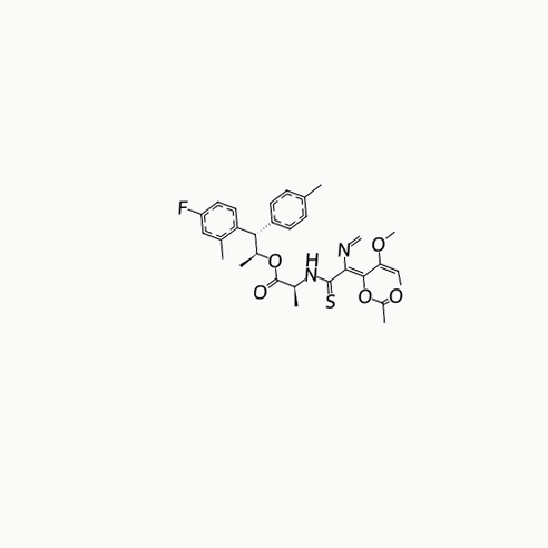 C=N/C(C(=S)N[C@@H](C)C(=O)O[C@@H](C)[C@@H](c1ccc(C)cc1)c1ccc(F)cc1C)=C(OC(C)=O)\C(=C/C)OC